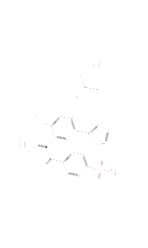 C=C(C(=O)c1ccc(S(N)(=O)=O)cc1)c1cc(-c2cccs2)c(OCC(CO)CO)cc1OC